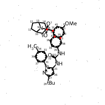 COc1cccc(S(=O)(=O)N2C3CCC2CC(Cc2ccc(NC(=O)Nc4cc(C(C)(C)C)nn4-c4ccc(C)cc4)cc2)C3)c1